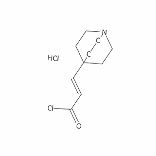 Cl.O=C(Cl)C=CC12CCN(CC1)CC2